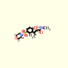 CNC(=O)c1oc2ccc(S(=O)(=O)N3CCOCC3)cc2c1C